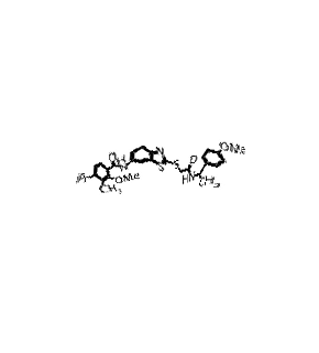 COc1ccc(C(C)NC(=O)CSc2nc3ccc(NC(=O)c4ccc(C(C)C)c(C)c4OC)cc3s2)cc1